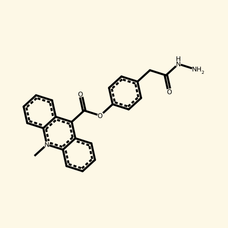 C[n+]1c2ccccc2c(C(=O)Oc2ccc(CC(=O)NN)cc2)c2ccccc21